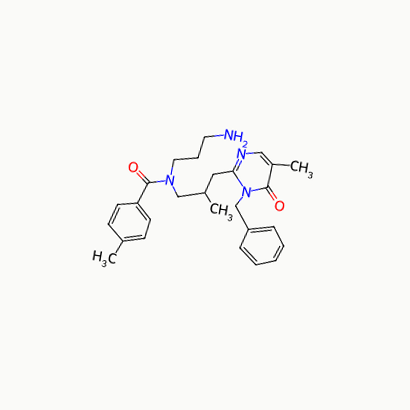 Cc1ccc(C(=O)N(CCCN)CC(C)Cc2ncc(C)c(=O)n2Cc2ccccc2)cc1